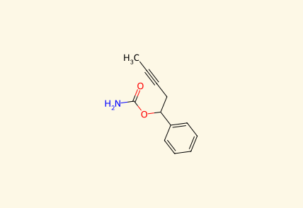 CC#CCC(OC(N)=O)c1ccccc1